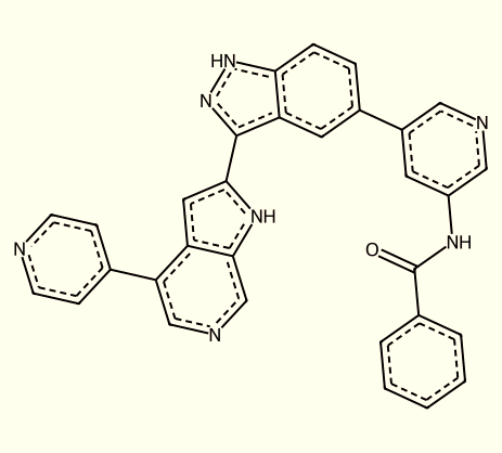 O=C(Nc1cncc(-c2ccc3[nH]nc(-c4cc5c(-c6ccncc6)cncc5[nH]4)c3c2)c1)c1ccccc1